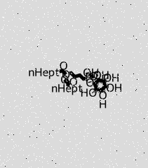 CCCCCCCC(=O)OCC(CCP(=O)(O)O[C@@H]1[C@@H](O)[C@H](O)[C@@H](O)[C@H](O)[C@@H]1O)OC(=O)CCCCCCC